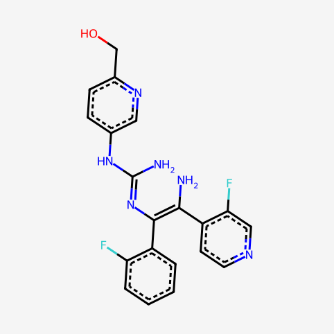 N/C(=C(\N=C(/N)Nc1ccc(CO)nc1)c1ccccc1F)c1ccncc1F